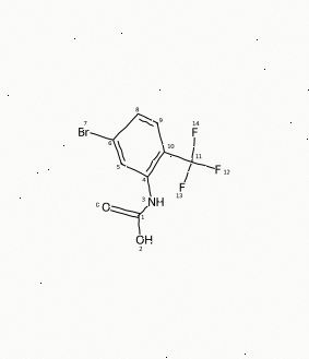 O=C(O)Nc1cc(Br)ccc1C(F)(F)F